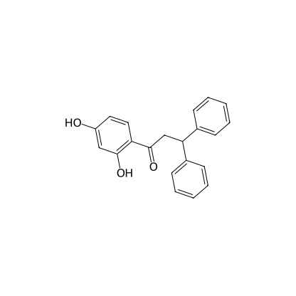 O=C(CC(c1ccccc1)c1ccccc1)c1ccc(O)cc1O